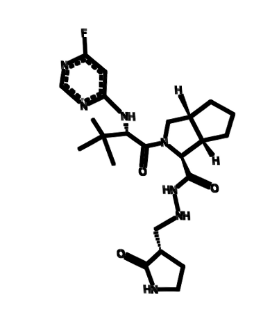 CC(C)(C)[C@H](Nc1cc(F)ncn1)C(=O)N1C[C@@H]2CCC[C@@H]2[C@H]1C(=O)NNC[C@@H]1CCNC1=O